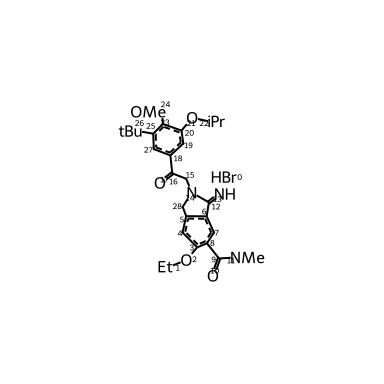 Br.CCOc1cc2c(cc1C(=O)NC)C(=N)N(CC(=O)c1cc(OC(C)C)c(OC)c(C(C)(C)C)c1)C2